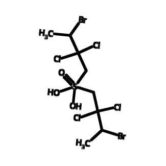 CC(Br)C(Cl)(Cl)CS(=O)(O)(O)CC(Cl)(Cl)C(C)Br